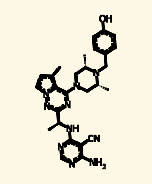 Cc1ccn2nc([C@H](C)Nc3ncnc(N)c3C#N)nc(N3C[C@@H](C)N(Cc4ccc(O)cc4)[C@@H](C)C3)c12